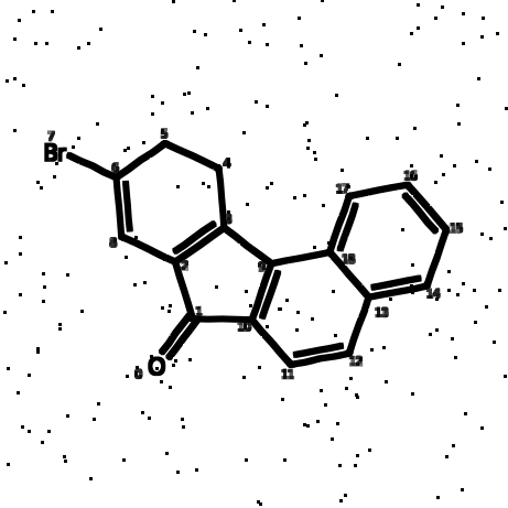 O=C1C2=C(CCC(Br)=C2)c2c1ccc1ccccc21